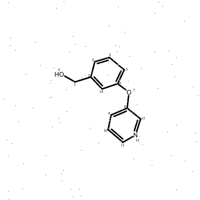 OCc1cccc(Oc2cccnc2)c1